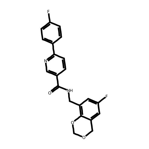 O=C(NCc1cc(F)cc2c1OCOC2)c1ccc(-c2ccc(F)cc2)nc1